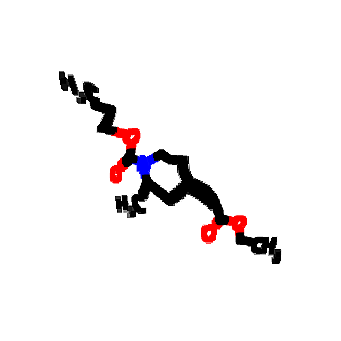 CCCCOC(=O)N1CCC(=CC(=O)OCC)CC1C